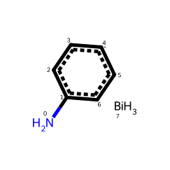 Nc1cc[c]cc1.[BiH3]